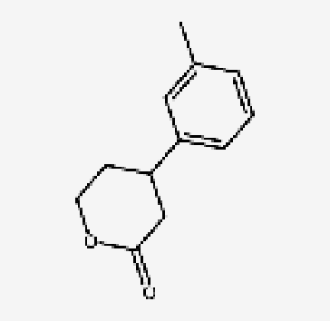 Cc1cccc(C2CCOC(=O)C2)c1